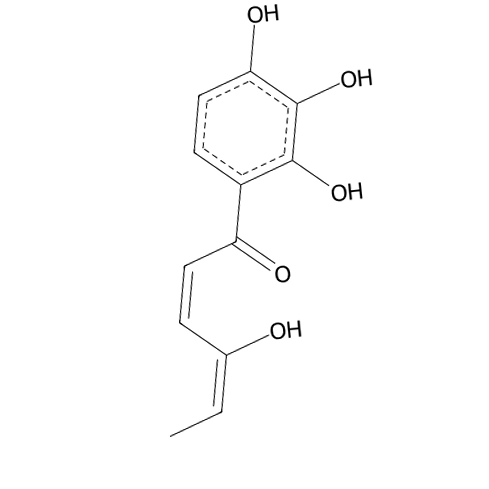 C/C=C(O)\C=C/C(=O)c1ccc(O)c(O)c1O